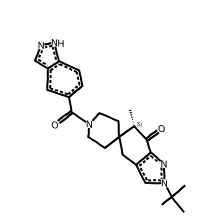 C[C@@H]1C(=O)c2nn(C(C)(C)C)cc2CC12CCN(C(=O)c1ccc3[nH]ncc3c1)CC2